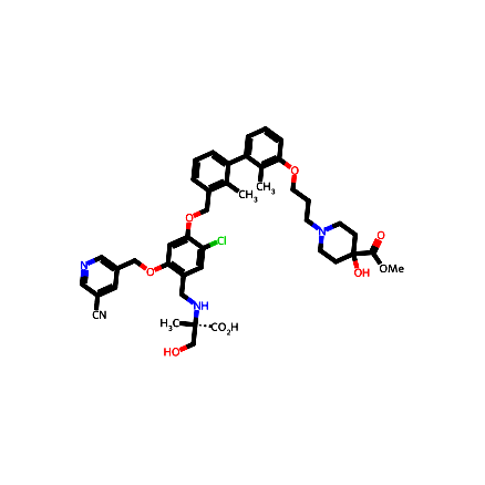 COC(=O)C1(O)CCN(CCCOc2cccc(-c3cccc(COc4cc(OCc5cncc(C#N)c5)c(CN[C@](C)(CO)C(=O)O)cc4Cl)c3C)c2C)CC1